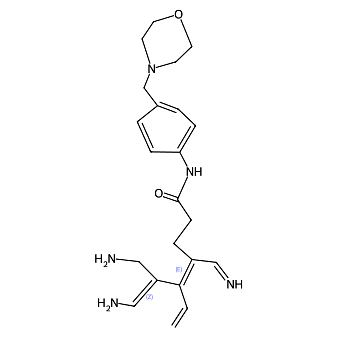 C=CC(/C(=C/N)CN)=C(\C=N)CCC(=O)Nc1ccc(CN2CCOCC2)cc1